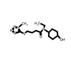 CCN(C(=O)CCCSc1nnnn1C)C1CCC(O)CC1